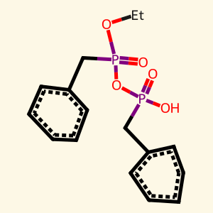 CCOP(=O)(Cc1ccccc1)OP(=O)(O)Cc1ccccc1